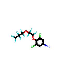 Nc1cc(Cl)c(OC(F)C(F)(F)OC(F)(F)C(F)(F)C(F)F)c(Cl)c1